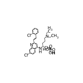 CCN(CC)CCCC(C)Nc1cc(/C=C/c2ccccc2Cl)nc2cc(Cl)ccc12.O=P(O)(O)O